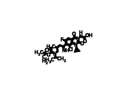 CC(CC(=N)c1c(F)cc2c(=O)n(NC(=O)O)c(=O)n(C3CC3)c2c1Cl)CN(C(=O)OC(C)(C)C)C(C)C